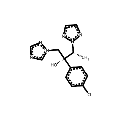 C[C@@H](n1nccn1)[C@](O)(Cn1cncn1)c1ccc(Cl)cc1